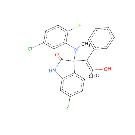 CN(c1cc(Cl)ccc1F)C1(/C(=C(/O)C=O)c2ccccc2)C(=O)Nc2cc(Cl)ccc21